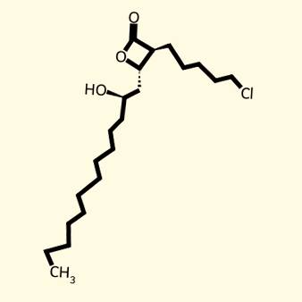 CCCCCCCCCCC[C@@H](O)C[C@@H]1OC(=O)[C@H]1CCCCCCl